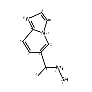 CC(NS)c1ccc2nccn2c1